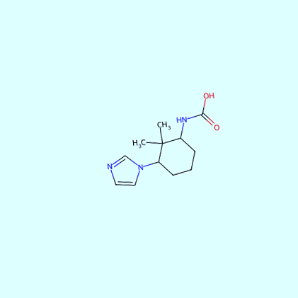 CC1(C)C(NC(=O)O)CCCC1n1ccnc1